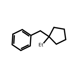 CCC1(Cc2ccccc2)CCCC1